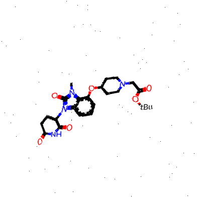 Cn1c(=O)n(C2CCC(=O)NC2=O)c2cccc(OC3CCN(CC(=O)OC(C)(C)C)CC3)c21